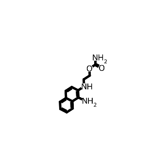 NC(=O)OCCNc1ccc2ccccc2c1N